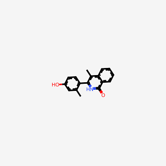 Cc1cc(O)ccc1-c1[nH]c(=O)c2ccccc2c1C